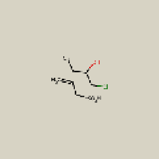 C=CCS(=O)(=O)O.OC([CH2][Na])CCl